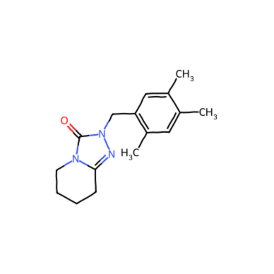 Cc1cc(C)c(Cn2nc3n(c2=O)CCCC3)cc1C